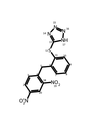 O=[N+]([O-])c1ccc(Cc2ccccc2Sc2nnn[nH]2)c([N+](=O)[O-])c1